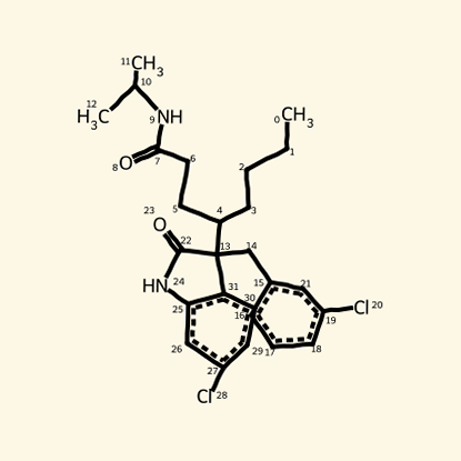 CCCCC(CCC(=O)NC(C)C)C1(Cc2cccc(Cl)c2)C(=O)Nc2cc(Cl)ccc21